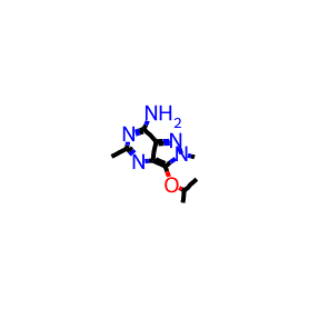 Cc1nc(N)c2nn(C)c(OC(C)C)c2n1